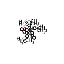 CC(C)(C)c1ccc(N2B3c4ccc5c(sc6ccccc65)c4N(c4ccc(C(C)(C)C)cc4-c4ccccc4)c4cc5c(sc6ccccc65)c(c43)-c3cc4c(cc32)C(C)(C)CCC4(C)C)cc1